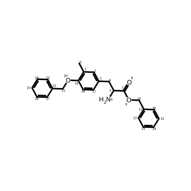 Cc1cc(CC(N)C(=O)OCc2ccccc2)ccc1OCc1ccccc1